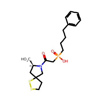 O=C(O)[C@@H]1CC2(CCSS2)CN1C(=O)CP(=O)(O)CCCCc1ccccc1